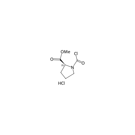 COC(=O)[C@@H]1CCCN1C(=O)Cl.Cl